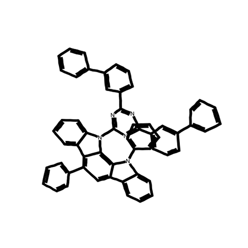 c1ccc(-c2cccc(-c3nc(-c4cccc(-c5ccccc5)c4)nc(-n4c5ccccc5c5c(-c6ccccc6)cc6c7ccccc7n(-c7ccccc7)c6c54)n3)c2)cc1